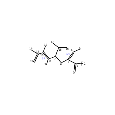 C=C(F)/C(=C\C)CC(/C(C)=C(\C)C(=C)C)C(C)C